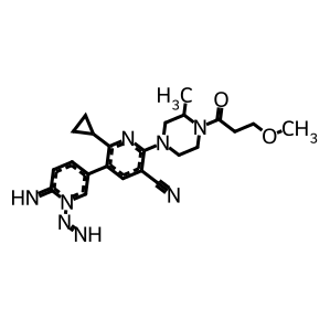 COCCC(=O)N1CCN(c2nc(C3CC3)c(-c3ccc(=N)n(N=N)c3)cc2C#N)CC1C